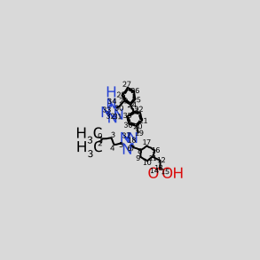 CC(C)CCc1nc(C2CCC(CC(=O)O)CC2)n(Cc2ccc(-c3ccccc3-c3nnn[nH]3)cc2)n1